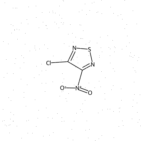 O=[N+]([O-])c1nsnc1Cl